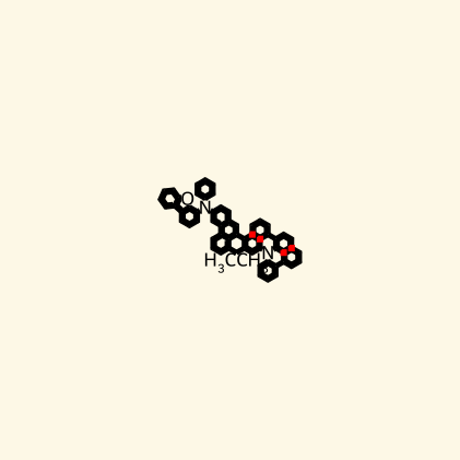 CC1(C)c2cc(N(c3ccccc3-c3ccccc3)c3ccccc3-c3ccccc3)ccc2-c2cc3ccc(N(c4ccccc4)c4cccc5c4oc4ccccc45)cc3c3cccc1c23